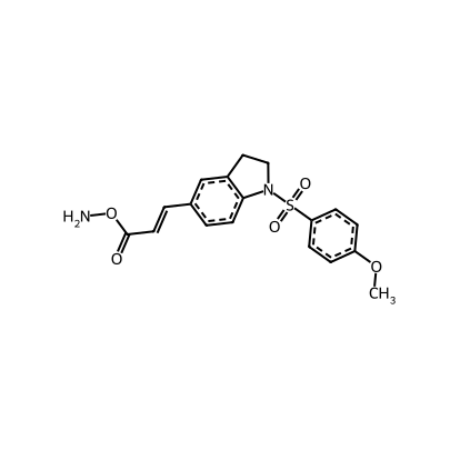 COc1ccc(S(=O)(=O)N2CCc3cc(/C=C/C(=O)ON)ccc32)cc1